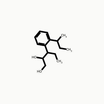 CC[C](c1ccccc1C(C)CC)C(O)CO